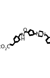 CCOC(=O)C=Cc1ccc(CNC(=O)c2ccc(N3CCN(Cc4cccnc4)CC3)cc2)cc1